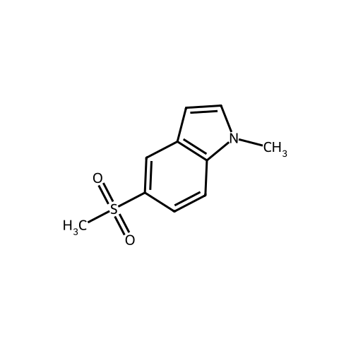 Cn1ccc2cc(S(C)(=O)=O)ccc21